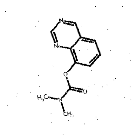 CN(C)C(=O)Oc1cccc2cncnc12